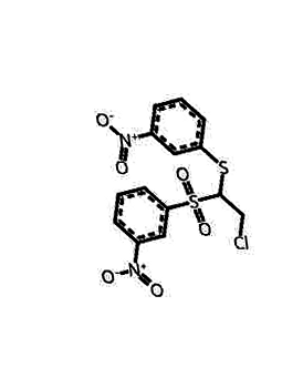 O=[N+]([O-])c1cccc(SC(CCl)S(=O)(=O)c2cccc([N+](=O)[O-])c2)c1